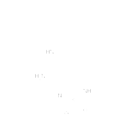 NC1=NS(=O)(=O)Nc2cccc(NC3CCCC3)c21